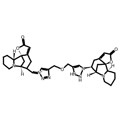 O=C1C=C2CC(/C=[N+]3\C=C(COCC4=CN([C@H]5CC6=CC(=O)O[C@@]67C[C@@H]5N5CCCC[C@@H]57)NN4)N=N3)[C@@H]3C[C@@]2(O1)[C@H]1CCCCN31